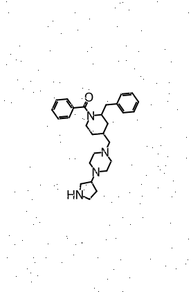 O=C(c1ccccc1)N1CCC(CN2CCN(C3CCNC3)CC2)CC1Cc1ccccc1